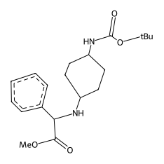 COC(=O)C(NC1CCC(NC(=O)OC(C)(C)C)CC1)c1ccccc1